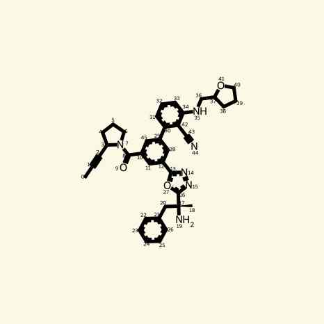 CC#CC1CCCN1C(=O)c1cc(-c2nnc([C@](C)(N)Cc3ccccc3)o2)cc(-c2cccc(NCC3CCCO3)c2C#N)c1